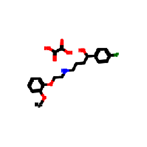 COc1ccccc1OCCNCCCC(O)c1ccc(F)cc1.O=C(O)C(=O)O